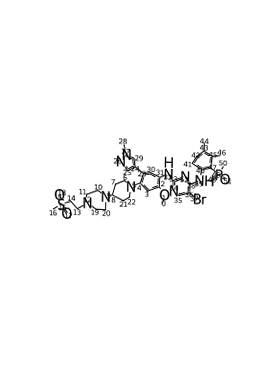 COc1cc(N2CCC(N3CCN(CCS(C)(=O)=O)CC3)CC2)c(-c2cnn(C)c2)cc1Nc1ncc(Br)c(Nc2ccc(C)c(C)c2P(C)(C)=O)n1